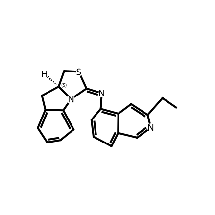 CCc1cc2c(N=C3SC[C@@H]4Cc5ccccc5N34)cccc2cn1